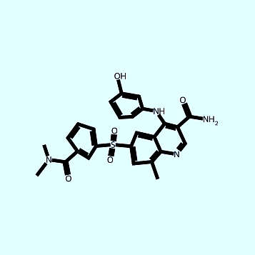 Cc1cc(S(=O)(=O)c2cccc(C(=O)N(C)C)c2)cc2c(Nc3cccc(O)c3)c(C(N)=O)cnc12